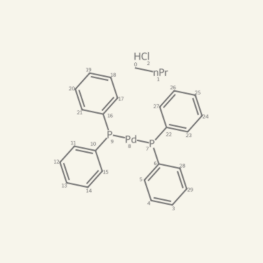 CCCC.Cl.c1ccc([P]([Pd][P](c2ccccc2)c2ccccc2)c2ccccc2)cc1